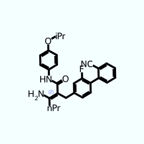 CCC/C(N)=C(\Cc1ccc(-c2ccccc2C#N)c(F)c1)C(=O)Nc1ccc(OC(C)C)cc1